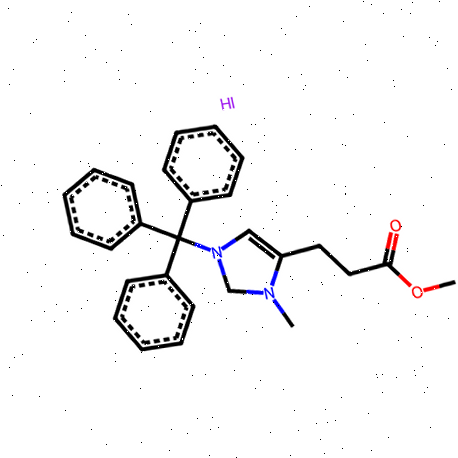 COC(=O)CCC1=CN(C(c2ccccc2)(c2ccccc2)c2ccccc2)CN1C.I